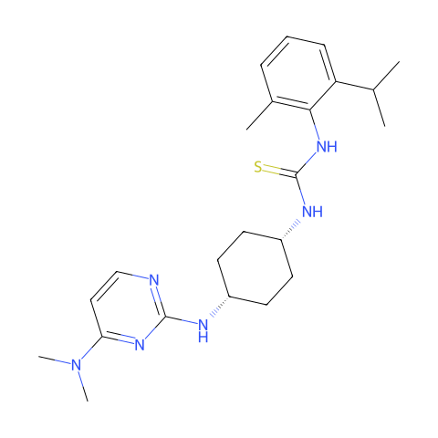 Cc1cccc(C(C)C)c1NC(=S)N[C@H]1CC[C@@H](Nc2nccc(N(C)C)n2)CC1